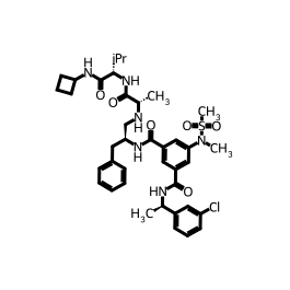 CC(C)[C@H](NC(=O)[C@H](C)NC[C@H](Cc1ccccc1)NC(=O)c1cc(C(=O)N[C@H](C)c2cccc(Cl)c2)cc(N(C)S(C)(=O)=O)c1)C(=O)NC1CCC1